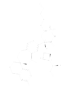 C=CCCCN1C[C@@](O)(c2ccc3c(c2)N(C[C@@H]2CC[C@H]2[C@@H](O)C=C)C[C@@]2(CCCc4cc(Cl)ccc42)CO3)C(=O)NS1(=O)=O